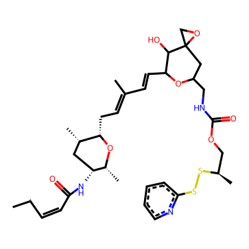 C[CH]/C=C\C(=O)N[C@@H]1C[C@H](C)[C@H](C/C=C(C)/C=C/C2OC(CNC(=O)OC[C@@H](C)SSc3ccccn3)CC3(CO3)C2O)O[C@@H]1C